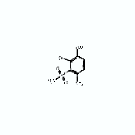 CCCCc1ccc(C)c(S(N)(=O)=O)c1CCCC